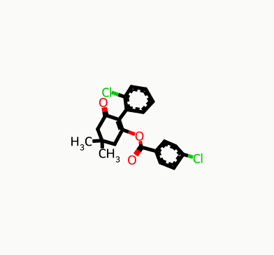 CC1(C)CC(=O)C(c2ccccc2Cl)=C(OC(=O)c2ccc(Cl)cc2)C1